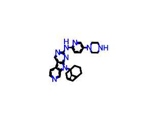 c1cc2c3cnc(Nc4ccc(N5CCNCC5)cn4)nc3n(C34CCCC5(CC(C5)C3)C4)c2cn1